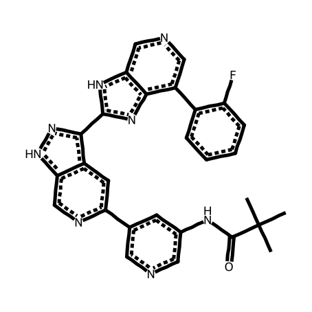 CC(C)(C)C(=O)Nc1cncc(-c2cc3c(-c4nc5c(-c6ccccc6F)cncc5[nH]4)n[nH]c3cn2)c1